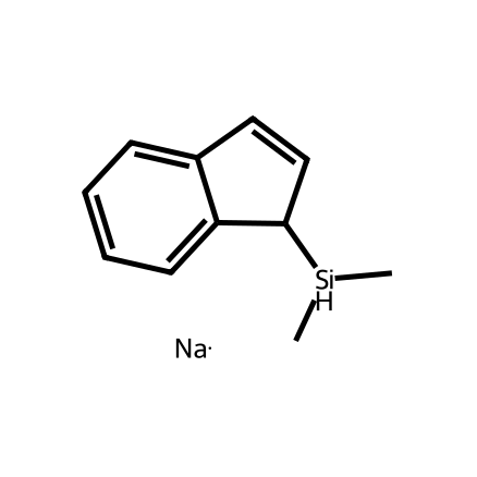 C[SiH](C)C1C=Cc2ccccc21.[Na]